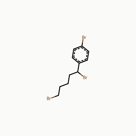 BrCCCCC(Br)c1ccc(Br)cc1